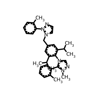 Cc1ccccc1-c1n(-c2c(C(C)C)cc(C[n+]3ccnn3-c3ccccc3C)cc2C(C)C)cn[n+]1C